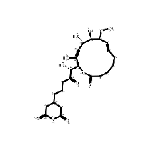 CO[C@H]1/C=C/CCCCC(=O)OC([C@@H](C)C(=O)CCCC2CC(=O)NC(=O)C2)/C(C)=C\[C@H](C)[C@H]1O